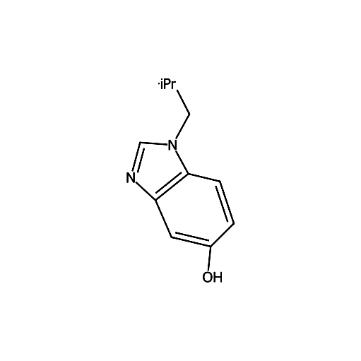 C[C](C)Cn1cnc2cc(O)ccc21